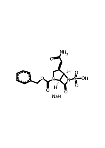 NC(=O)/C=C1\CN(C(=O)OCc2ccccc2)[C@@H]2C(=O)N(S(=O)(=O)O)[C@H]12.[NaH]